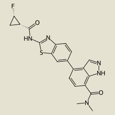 CN(C)C(=O)c1ccc(-c2ccc3nc(NC(=O)[C@@H]4C[C@@H]4F)sc3c2)c2cn[nH]c12